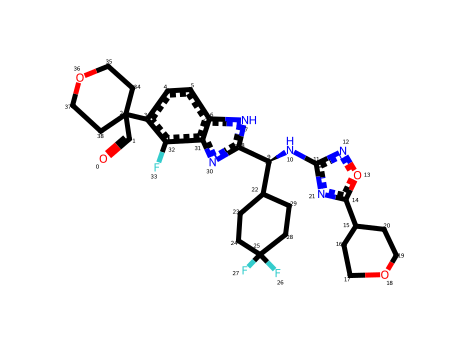 O=CC1(c2ccc3[nH]c([C@@H](Nc4noc(C5CCOCC5)n4)C4CCC(F)(F)CC4)nc3c2F)CCOCC1